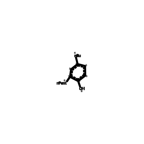 CCCCCc1cc(CCCC)ccc1O